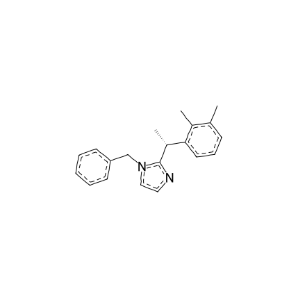 Cc1cccc([C@@H](C)c2nccn2Cc2ccccc2)c1C